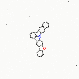 c1ccc2cc3c(cc2c1)c1cccc2c4cc5c(cc4n3c12)oc1ccccc15